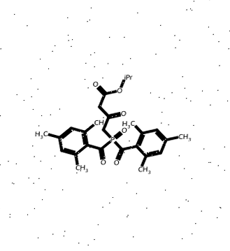 Cc1cc(C)c(C(=O)P(=O)(CC(=O)CC(=O)OC(C)C)C(=O)c2c(C)cc(C)cc2C)c(C)c1